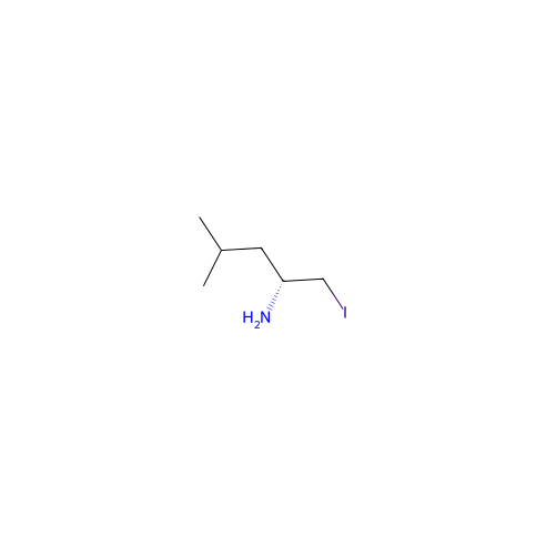 CC(C)C[C@@H](N)CI